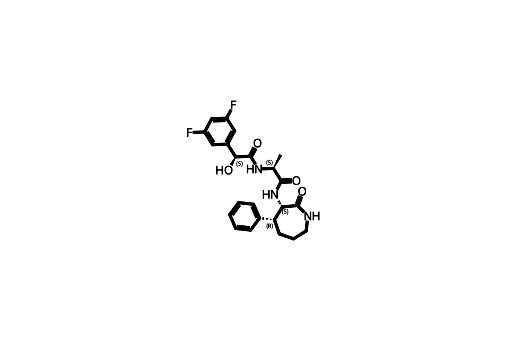 C[C@H](NC(=O)[C@@H](O)c1cc(F)cc(F)c1)C(=O)N[C@@H]1C(=O)NCCC[C@@H]1c1ccccc1